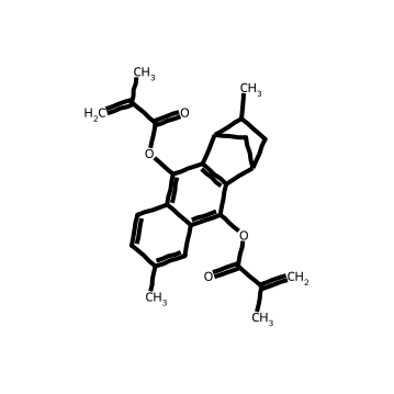 C=C(C)C(=O)Oc1c2c(c(OC(=O)C(=C)C)c3ccc(C)cc13)C1CC2CC1C